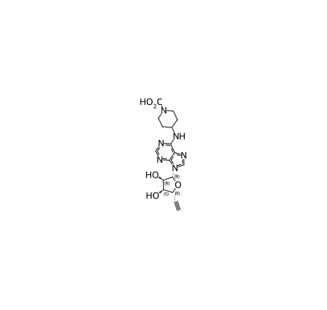 C#C[C@H]1O[C@@H](n2cnc3c(NC4CCN(C(=O)O)CC4)ncnc32)[C@H](O)[C@@H]1O